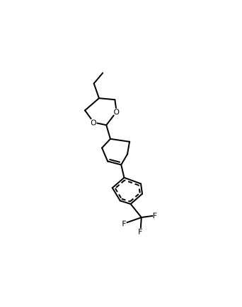 CCC1COC(C2CC=C(c3ccc(C(F)(F)F)cc3)CC2)OC1